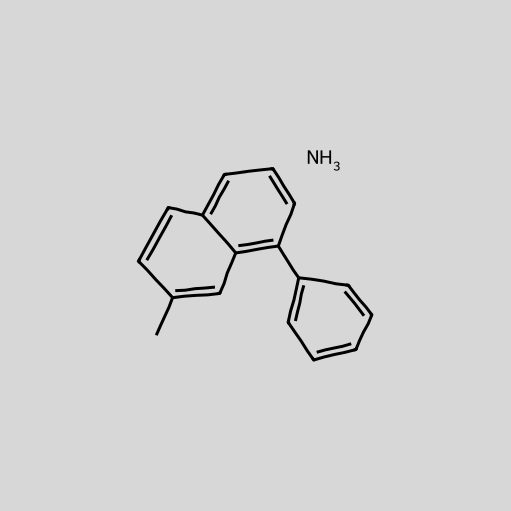 Cc1ccc2cccc(-c3ccccc3)c2c1.N